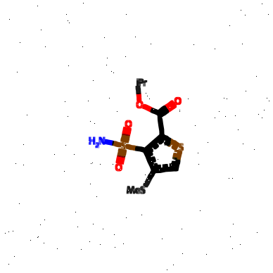 CSc1csc(C(=O)OC(C)C)c1S(N)(=O)=O